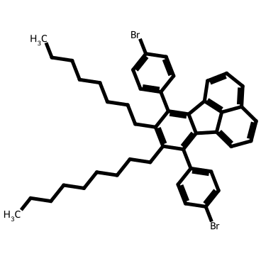 CCCCCCCCCc1c(CCCCCCCC)c(-c2ccc(Br)cc2)c2c(c1-c1ccc(Br)cc1)-c1cccc3cccc-2c13